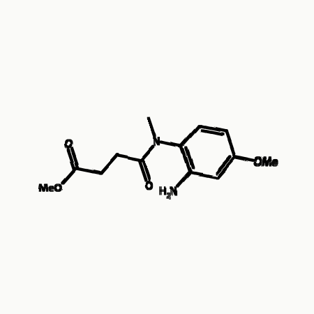 COC(=O)CCC(=O)N(C)c1ccc(OC)cc1N